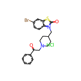 Cl.O=C(CN1CCC(Cn2c(=O)sc3cc(Br)ccc32)CC1)c1ccccc1